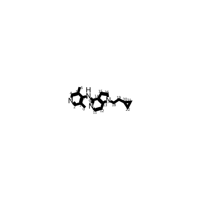 Cc1cncc(C)c1Nc1nccc2c1ccn2CCC1CC1